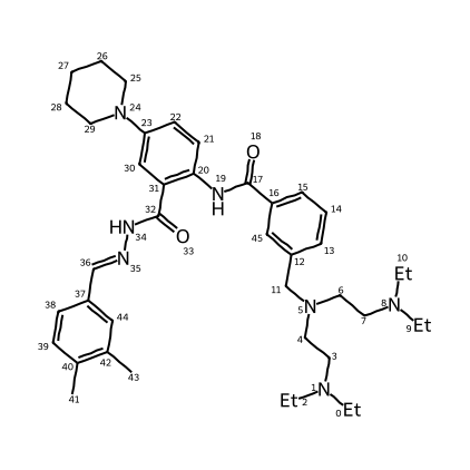 CCN(CC)CCN(CCN(CC)CC)Cc1cccc(C(=O)Nc2ccc(N3CCCCC3)cc2C(=O)N/N=C/c2ccc(C)c(C)c2)c1